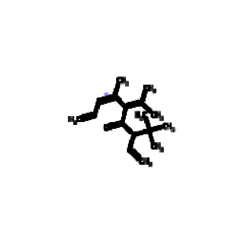 C=C/C=C(/C)C(C(=O)N(C=C)C(C)(C)C)=C(C)C